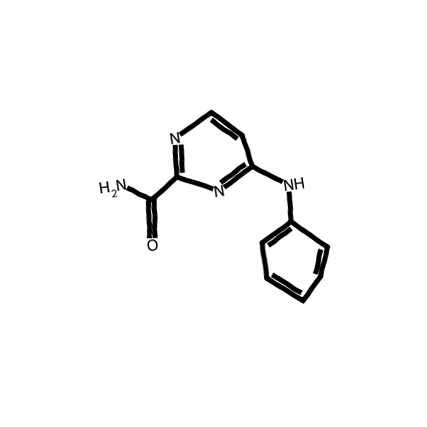 NC(=O)c1nccc(Nc2ccccc2)n1